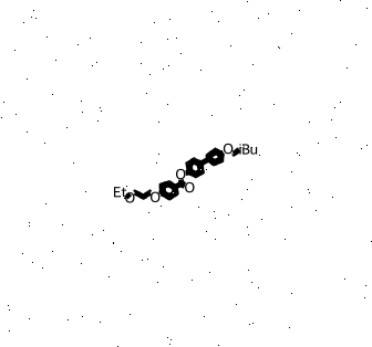 CCOCCCOc1ccc(C(=O)Oc2ccc(-c3ccc(OCC(C)CC)cc3)cc2)cc1